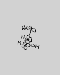 COC(=O)CCCC1CCC2C3C(CC[C@]12C)[C@@]1(C)CCCCC1C[C@H]3O